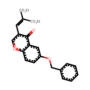 CCOC(=O)C(=Cc1coc2ccc(OCc3ccccc3)cc2c1=O)C(=O)OCC